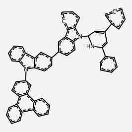 C1=C(c2ccccc2)C=C(c2ccccc2)NC1n1c2ccccc2c2cc(-c3ccc4c(c3)c3ccccc3n4-c3ccc4c5ccccc5c5ccccc5c4c3)ccc21